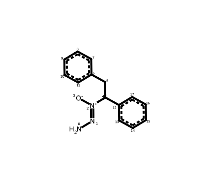 NN=[N+]([O-])C(Cc1ccccc1)c1ccccc1